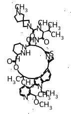 CCn1c(-c2cccnc2[C@H](C)OC)c2c3cc(ccc31)-c1csc(n1)C[C@H](NC(=O)[C@H](C(C)C)N(C)C(=O)N1CC3(CCN(C)C3)C1)C(=O)N1CCC[C@H](N1)C(=O)OCC(C)(C)C2